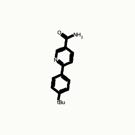 CC(C)(C)c1ccc(-c2ccc(C(N)=O)cn2)cc1